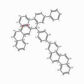 c1ccc(-c2ccc(-c3ccccc3)c(N(c3ccc(-c4ccc5c(ccc6c7ccccc7ccc56)c4)cc3)c3ccc4ccc5ccccc5c4c3)c2)cc1